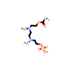 CC(=O)OCCN(C)CCN(C)CCOS(=O)(=O)O